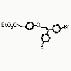 CCOC(=O)CCc1ccc(OCC=C(c2ccc(Br)cc2)c2ccc(Br)cc2)cc1